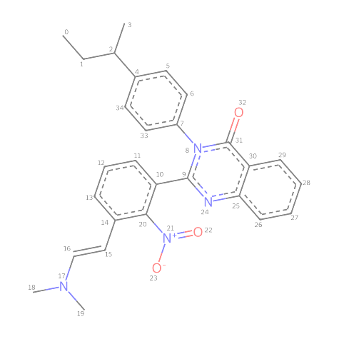 CCC(C)c1ccc(-n2c(-c3cccc(/C=C/N(C)C)c3[N+](=O)[O-])nc3ccccc3c2=O)cc1